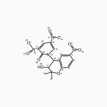 CC1(C)Oc2ccc([N+](=O)[O-])cc2C(n2cc([N+](=O)[O-])cc([N+](=O)[O-])c2=O)C1O